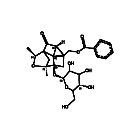 C[C@@H]1O[C@@]2(C)CC13C(=O)[C@@H]1C4(COC(=O)c5ccccc5)C[C@@]2(O[C@@H]2OC(CO)[C@@H](O)C(O)C2O)[C@]143